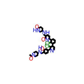 COc1cc(-c2nccc(-c3cccc(-c4ccc(CN[C@@H]5CCC(=O)NC5)c(OC)n4)c3Cl)c2Cl)ccc1CNC1CCN(C(C)=O)CC1